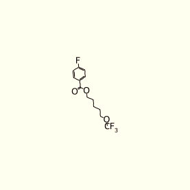 O=C(OCCCCCOC(F)(F)F)c1ccc(F)cc1